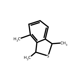 Cc1cccc2c1C(C)SC2C